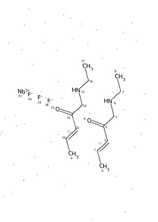 C/C=C/C(=O)CNCC.C/C=C/C(=O)CNCC.[F-].[F-].[F-].[Nb+3]